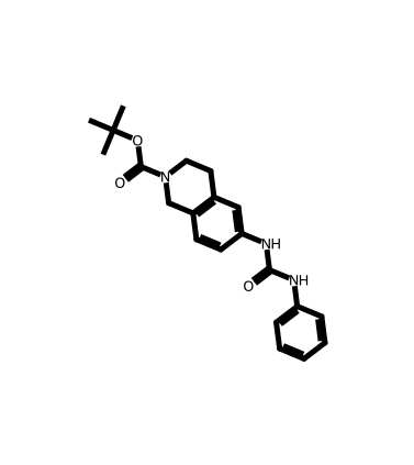 CC(C)(C)OC(=O)N1CCc2cc(NC(=O)Nc3ccccc3)ccc2C1